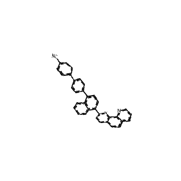 N#Cc1ccc(-c2ccc(-c3ccc(-c4ccc5ccc6cccnc6c5n4)c4ccccc34)cc2)cc1